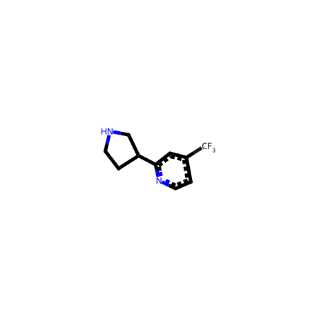 FC(F)(F)c1ccnc(C2CCNC2)c1